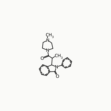 CC(C(=O)N1CCN(C)CC1)C1c2ccccc2C(=O)N1c1ccccc1